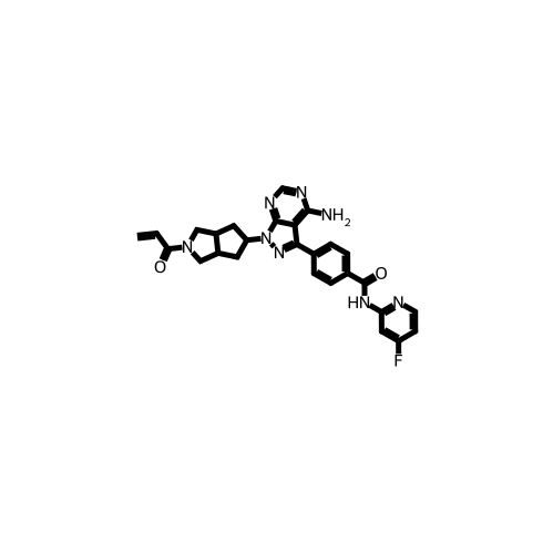 C=CC(=O)N1CC2CC(n3nc(-c4ccc(C(=O)Nc5cc(F)ccn5)cc4)c4c(N)ncnc43)CC2C1